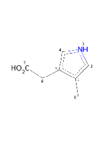 Cc1c[nH]cc1CC(=O)O